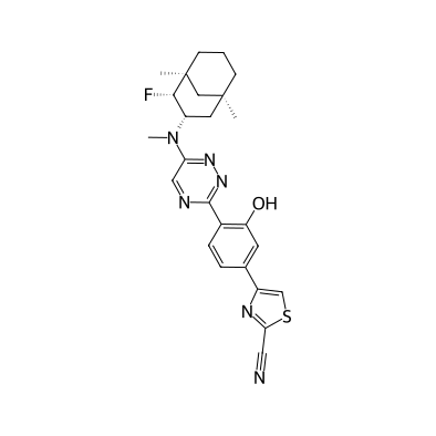 CN(c1cnc(-c2ccc(-c3csc(C#N)n3)cc2O)nn1)[C@H]1C[C@]2(C)CCC[C@@](C)(C2)[C@H]1F